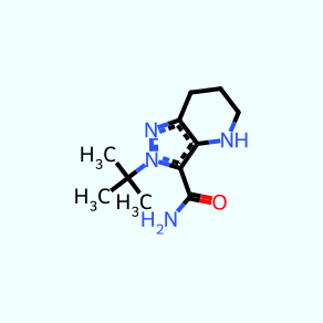 CC(C)(C)n1nc2c(c1C(N)=O)NCCC2